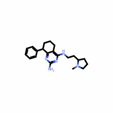 CN1CCCC1CCNc1nc(N)nc2c1CCCC2c1ccccc1